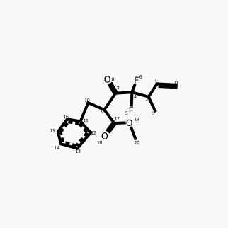 C=CC(C)C(F)(F)C(=O)C(Cc1ccccc1)C(=O)OC